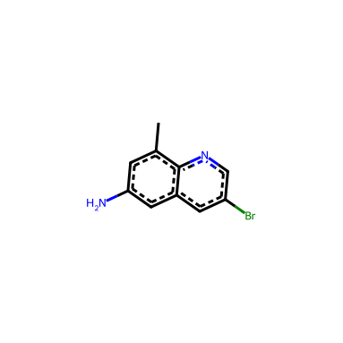 Cc1cc(N)cc2cc(Br)cnc12